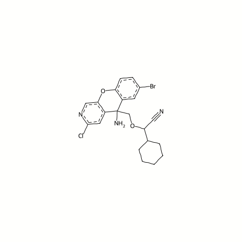 N#CC(OCC1(N)c2cc(Br)ccc2Oc2cnc(Cl)cc21)C1CCCCC1